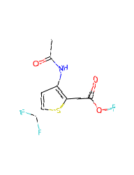 CC(=O)Nc1ccsc1C(=O)OF.FCF